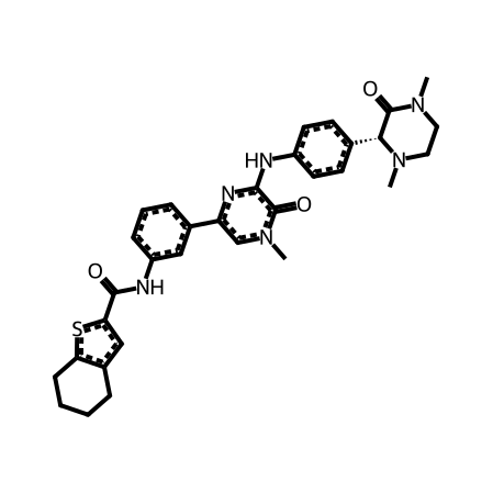 CN1CCN(C)[C@H](c2ccc(Nc3nc(-c4cccc(NC(=O)c5cc6c(s5)CCCC6)c4)cn(C)c3=O)cc2)C1=O